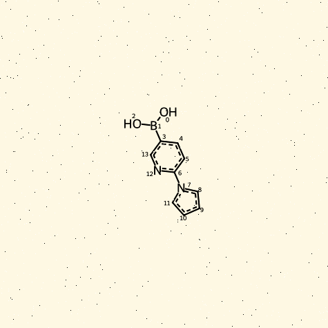 OB(O)c1ccc(-n2cccc2)nc1